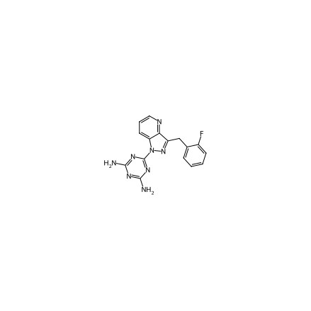 Nc1nc(N)nc(-n2nc(Cc3ccccc3F)c3ncccc32)n1